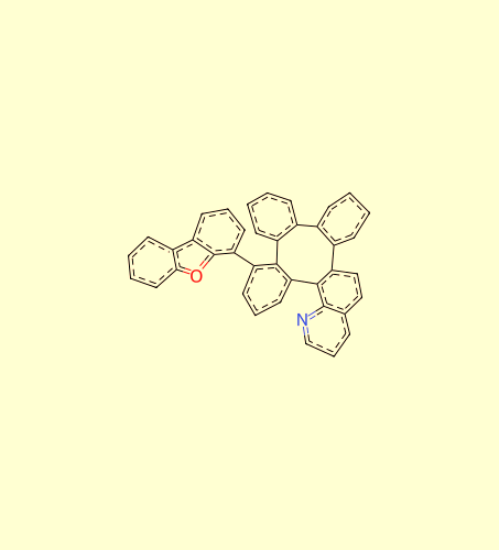 c1ccc2c(c1)-c1ccccc1-c1c(cccc1-c1cccc3c1oc1ccccc13)-c1c-2ccc2cccnc12